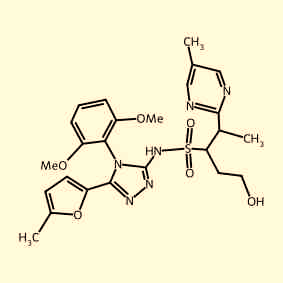 COc1cccc(OC)c1-n1c(NS(=O)(=O)C(CCO)C(C)c2ncc(C)cn2)nnc1-c1ccc(C)o1